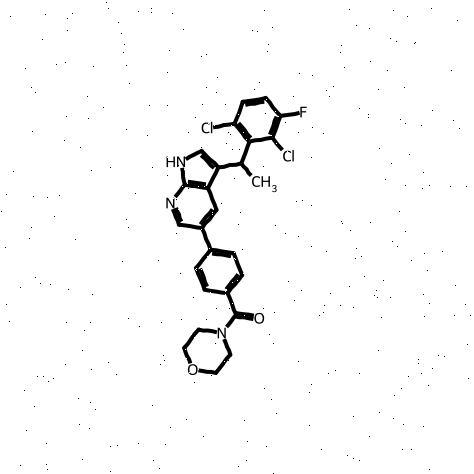 CC(c1c(Cl)ccc(F)c1Cl)c1c[nH]c2ncc(-c3ccc(C(=O)N4CCOCC4)cc3)cc12